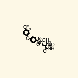 CN(CC1NC(=O)NC1=O)S(=O)(=O)c1ccc(Oc2ccc(C(F)(F)F)cc2)cc1